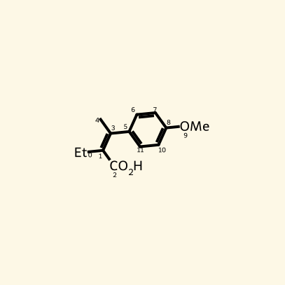 CC/C(C(=O)O)=C(\C)c1ccc(OC)cc1